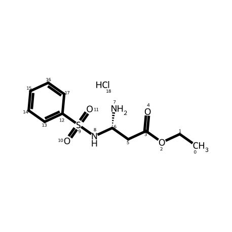 CCOC(=O)C[C@@H](N)NS(=O)(=O)c1ccccc1.Cl